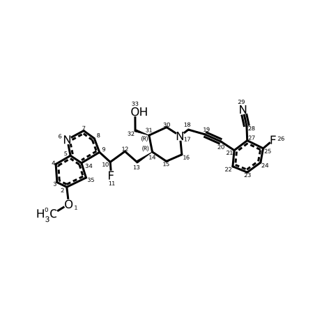 COc1ccc2nccc(C(F)CC[C@@H]3CCN(CC#Cc4cccc(F)c4C#N)C[C@@H]3CO)c2c1